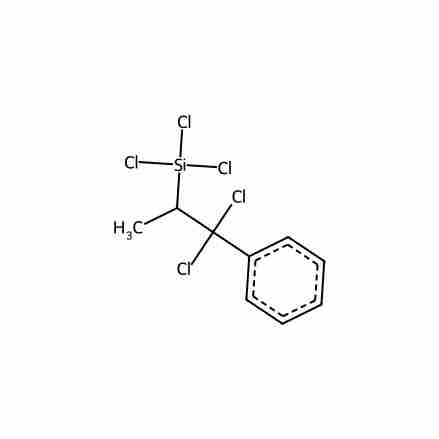 CC(C(Cl)(Cl)c1ccccc1)[Si](Cl)(Cl)Cl